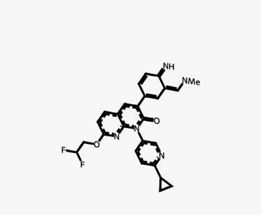 CN/C=C1/C=C(c2cc3ccc(OCC(F)F)nc3n(-c3ccc(C4CC4)nc3)c2=O)C=CC1=N